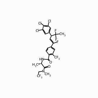 C[C@@H](NC(=O)c1ccc(/C(F)=C/C(c2cc(Cl)c(Cl)c(Cl)c2)C(C)(F)F)cc1C(F)(F)F)C(=O)N(C)CC(F)(F)F